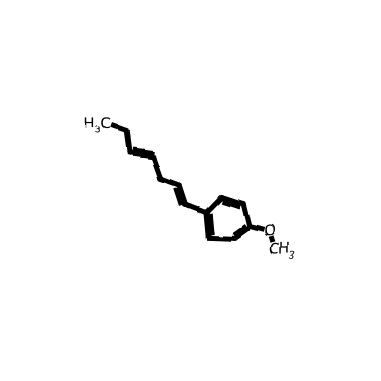 CCC=CCC=Cc1ccc(OC)cc1